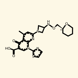 Cc1cc(N2CC(NOC[C@@H]3CCCCO3)C2)nc2c1c(=O)c(C(=O)O)cn2-c1nccs1